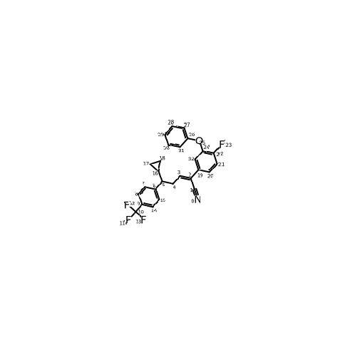 N#C/C(=C\CC(c1ccc(C(F)(F)F)cc1)C1CC1)c1ccc(F)c(Oc2ccccc2)c1